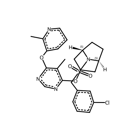 Cc1ncccc1Oc1ncnc(OC2C[C@@H]3CC[C@@H](C2)N3S(=O)(=O)Cc2cccc(Cl)c2)c1C